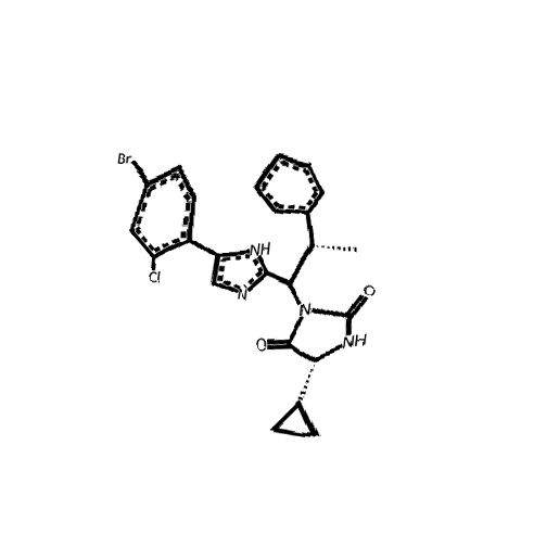 C[C@@H](c1ccccc1)C(c1ncc(-c2ccc(Br)cc2Cl)[nH]1)N1C(=O)N[C@H](C2CC2)C1=O